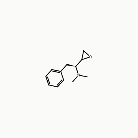 CN(C)[C@@H](Cc1ccccc1)C1CO1